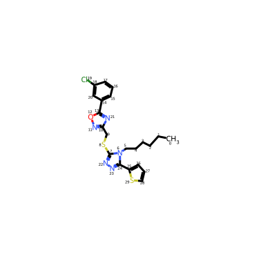 CCCCCCn1c(SCc2noc(-c3cccc(Cl)c3)n2)nnc1-c1cccs1